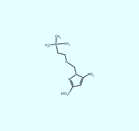 CCOC(=O)c1cc([N+](=O)[O-])n(COCC[Si](C)(C)C)n1